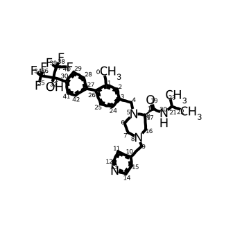 Cc1cc(CN2CCN(Cc3ccncc3)C[C@@H]2C(=O)NC(C)C)ccc1-c1ccc(C(O)(C(F)(F)F)C(F)(F)F)cc1